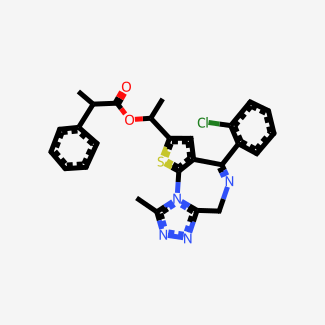 Cc1nnc2n1-c1sc(C(C)OC(=O)C(C)c3ccccc3)cc1C(c1ccccc1Cl)=NC2